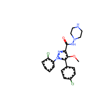 COc1c(C(=O)NN2CCNCC2)nn(-c2ccccc2Cl)c1-c1ccc(Cl)cc1